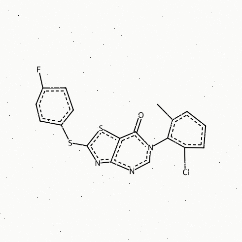 Cc1cccc(Cl)c1-n1cnc2nc(Sc3ccc(F)cc3)sc2c1=O